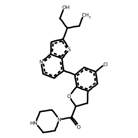 CCC(CO)c1cc2nccc(-c3cc(Cl)cc4c3OC(C(=O)N3CCNCC3)C4)c2s1